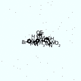 COc1cc2c(Nc3ccc(Br)cc3F)ncnc2cc1OCC1CC[N+](C)(Cc2c([N+](=O)[O-])ncn2C)CC1.O=C([O-])C(F)(F)F